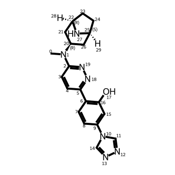 CN(c1ccc(-c2ccc(-n3cnnc3)cc2O)nn1)[C@H]1C[C@H]2CC[C@@H](C1)N2